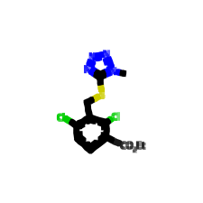 CCOC(=O)c1ccc(Cl)c(CSc2nnnn2C)c1Cl